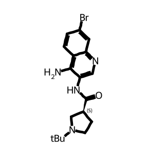 CC(C)(C)N1CC[C@H](C(=O)Nc2cnc3cc(Br)ccc3c2N)C1